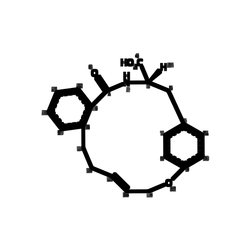 O=C1N[C@H](C(=O)O)Cc2ccc(cc2)OC/C=C/CCc2ccccc21